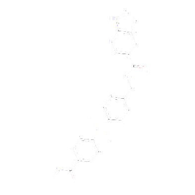 CCNC(=O)c1ccc(S(=O)(=O)c2ccc(CNC(=O)c3cnc4[nH]ncc4c3)cc2)cc1